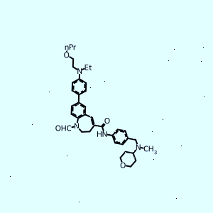 CCCOCCN(CC)c1ccc(-c2ccc3c(c2)C=C(C(=O)Nc2ccc(CN(C)C4CCOCC4)cc2)CCN3C=O)cc1